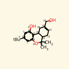 CC(C)(C)c1cc(O)c2c(c1)OC(C)(C)C1CC=C(CO)CC21